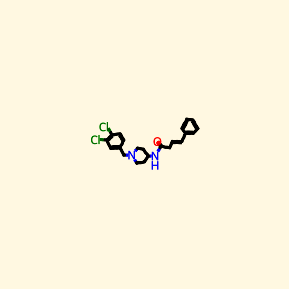 O=C(C/C=C/c1ccccc1)NC1CCN(Cc2ccc(Cl)c(Cl)c2)CC1